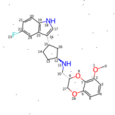 COc1cccc2c1O[C@@H](CN[C@H]1CC[C@H](c3c[nH]c4ccc(F)cc34)C1)CO2